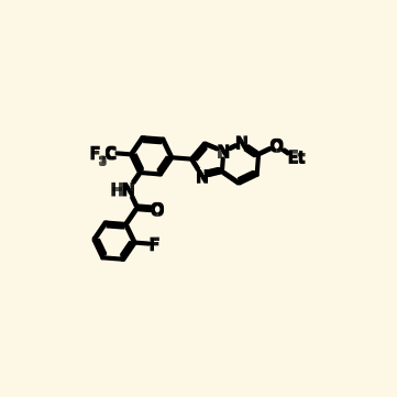 CCOc1ccc2nc(-c3ccc(C(F)(F)F)c(NC(=O)c4ccccc4F)c3)cn2n1